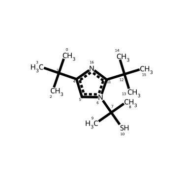 CC(C)(C)c1cn(C(C)(C)S)c(C(C)(C)C)n1